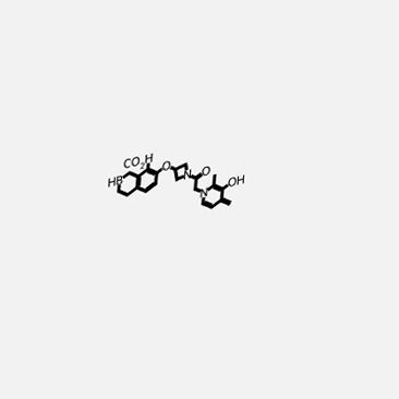 C=C1C=CN(CC(=O)N2CC(Oc3ccc4c(c3C(=O)O)CBCC4)C2)C(C)=C1O